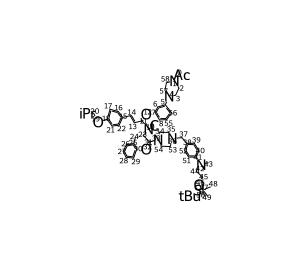 CC(=O)N1CCN(c2ccc(CN(C(=O)C=Cc3ccc(OC(C)C)cc3)[C@@H](Cc3ccccc3)C(=O)N3CCN(Cc4ccc(N(C)CCO[Si](C)(C)C(C)(C)C)cc4)CC3)cc2)CC1